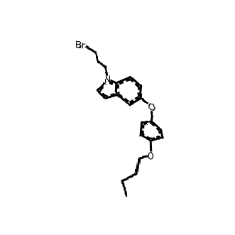 CCCCOc1ccc(Oc2ccc3c(ccn3CCCBr)c2)cc1